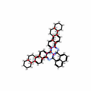 c1cc(-c2nc(-c3ccc(C4CCCCC4)cc3)nc(-c3ccc(C4CCCCC4)cc3)n2)c2c(-c3nc(-c4ccc(C5CCCCC5)cc4)nc(-c4ccc(C5CCCCC5)cc4)n3)cccc2c1